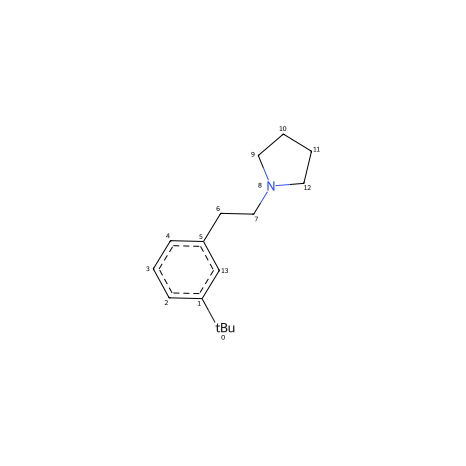 CC(C)(C)c1cccc(CCN2CCCC2)c1